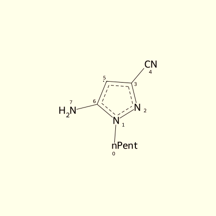 CCCCCn1nc(C#N)[c]c1N